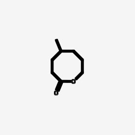 CC1CCCOC(=O)CC1